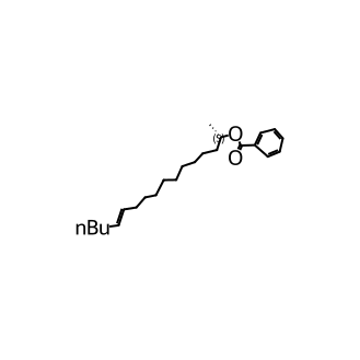 CCCCC=CCCCCCCCCC[C@H](C)OC(=O)c1ccccc1